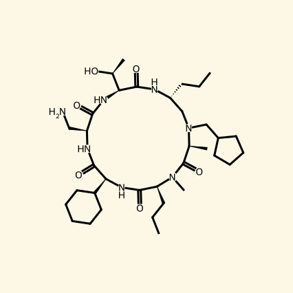 CCC[C@@H]1CN(CC2CCCC2)[C@@H](C)C(=O)N(C)[C@@H](CCC)C(=O)N[C@@H](C2CCCCC2)C(=O)N[C@@H](CN)C(=O)N[C@@H]([C@H](C)O)C(=O)N1